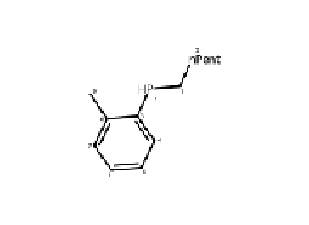 CCCCCCPc1ccccc1C